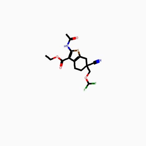 CCOC(=O)c1c(NC(C)=O)sc2c1CCC(C#N)(COC(F)F)C2